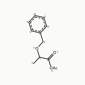 CC(=O)OC(=O)C(C)OCc1ccccc1